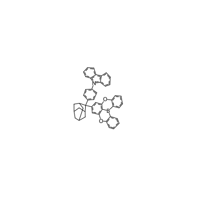 c1ccc2c(c1)Oc1cc(C3(c4ccc(-n5c6ccccc6c6ccccc65)cc4)C4CC5CC(C4)CC3C5)cc3c1B2c1ccccc1O3